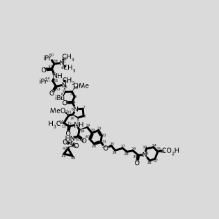 CC[C@H](C)[C@@H]([C@@H](CC(=O)N1CCC[C@H]1[C@H](OC)[C@@H](C)C(=O)N[C@@H](Cc1ccc(OCCCCCC(=O)N2CCC(C(=O)O)CC2)cc1)C(=O)NS(=O)(=O)C1CC1)OC)N(C)C(=O)[C@@H](NC(=O)C(C(C)C)N(C)C)C(C)C